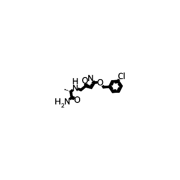 C[C@H](NCc1cc(OCc2cccc(Cl)c2)no1)C(N)=O